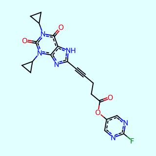 O=C(CCC#Cc1nc2c([nH]1)c(=O)n(C1CC1)c(=O)n2C1CC1)Oc1cnc(F)nc1